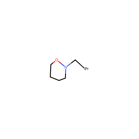 CC(C)CN1CCCCO1